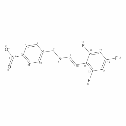 O=[N+]([O-])c1ccc(CSC=Cc2c(F)cc(F)cc2F)cc1